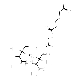 CC(C)C(O)C(C)(C)CO.CC(C)C(O)C(C)(C)CO.CC(C)COC(=O)CCCCC(=O)O